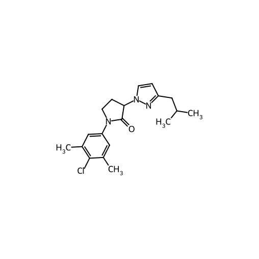 Cc1cc(N2CCC(n3ccc(CC(C)C)n3)C2=O)cc(C)c1Cl